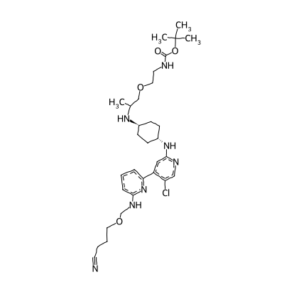 CC(COCCNC(=O)OC(C)(C)C)N[C@H]1CC[C@H](Nc2cc(-c3cccc(NCOCCCC#N)n3)c(Cl)cn2)CC1